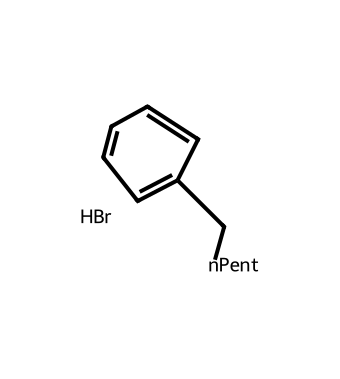 Br.CCCCCCc1ccccc1